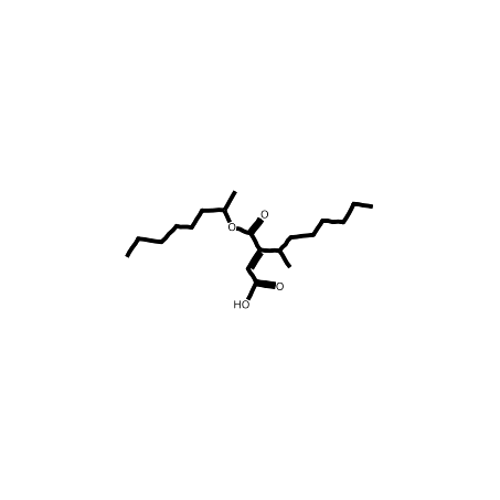 CCCCCCC(C)OC(=O)C(=CC(=O)O)C(C)CCCCCC